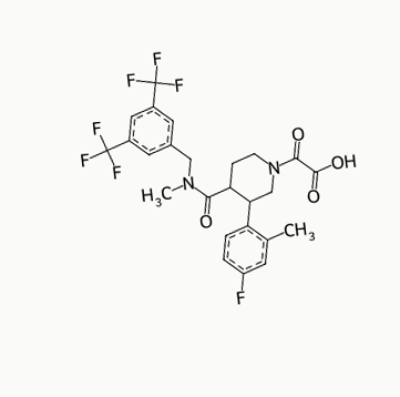 Cc1cc(F)ccc1C1CN(C(=O)C(=O)O)CCC1C(=O)N(C)Cc1cc(C(F)(F)F)cc(C(F)(F)F)c1